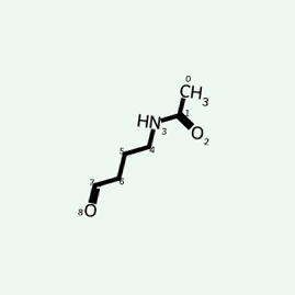 CC(=O)NCCC[C]=O